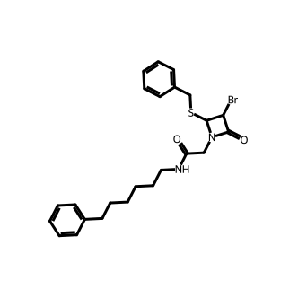 O=C(CN1C(=O)C(Br)C1SCc1ccccc1)NCCCCCCc1ccccc1